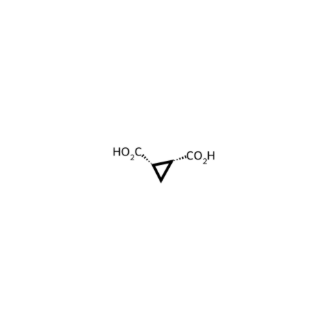 O=C(O)[C@H]1C[C@H]1C(=O)O